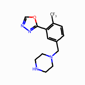 FC(F)(F)c1ccc(CN2CCNCC2)cc1-c1nnco1